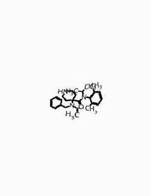 CCN(Cc1ccccc1)C1(C(=O)N(c2c(C)cccc2C)C(C)C)CCNCC1